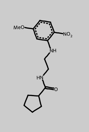 COc1ccc([N+](=O)[O-])c(NCCNC(=O)C2CCCC2)c1